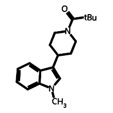 Cn1cc(C2CCN(C(=O)C(C)(C)C)CC2)c2ccccc21